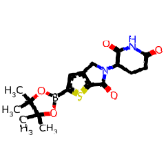 CC1(C)OB(c2cc3c(s2)C(=O)N(C2CCC(=O)NC2=O)C3)OC1(C)C